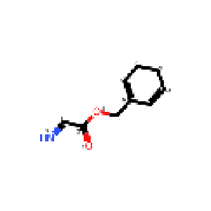 N=CC(=O)OCC1=CCCC=C1